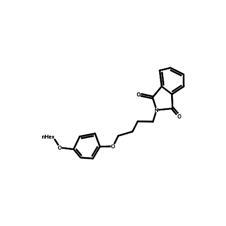 CCCCCCOc1ccc(OCCCCN2C(=O)c3ccccc3C2=O)cc1